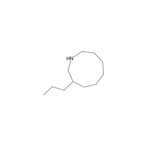 CCCC1CCCCCCNC1